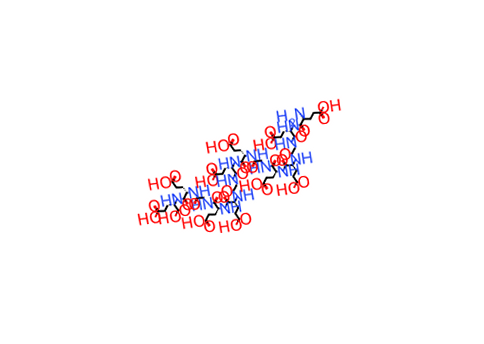 N[C@@H](CCC(=O)O)C(=O)N[C@@H](CCC(=O)O)C(=O)NCC(=O)N[C@@H](CCC(=O)O)C(=O)N[C@@H](CCC(=O)O)C(=O)NCC(=O)N[C@@H](CCC(=O)O)C(=O)N[C@@H](CCC(=O)O)C(=O)NCC(=O)N[C@@H](CCC(=O)O)C(=O)N[C@@H](CCC(=O)O)C(=O)NCC(=O)N[C@@H](CCC(=O)O)C(=O)N[C@@H](CCC(=O)O)C(=O)O